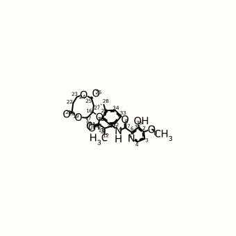 COc1ccnc(C(=O)NCC(C)C(=O)O[C@H]2[C@H](C)OC(=O)CCOC(=O)[C@@H]2Cc2ccccc2)c1O